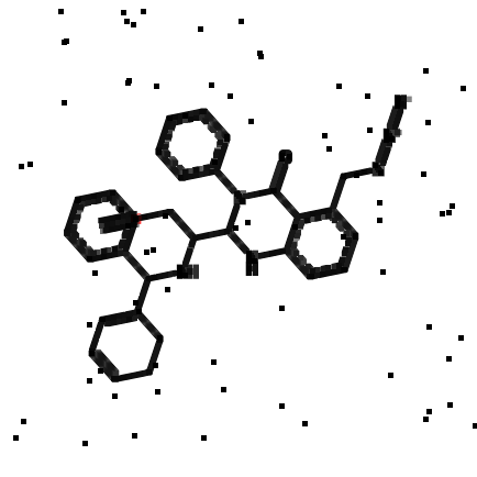 C#CCC(NC(C1=CC=CCC1)c1ccccc1)C1Nc2cccc(CN=[N+]=[N-])c2C(=O)N1c1ccccc1